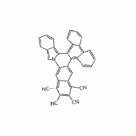 N#Cc1c(C#N)c(C#N)c2cc3c(cc2c1C#N)c1c2ccccc2c2ccccc2c1c1c2ccccc2cn31